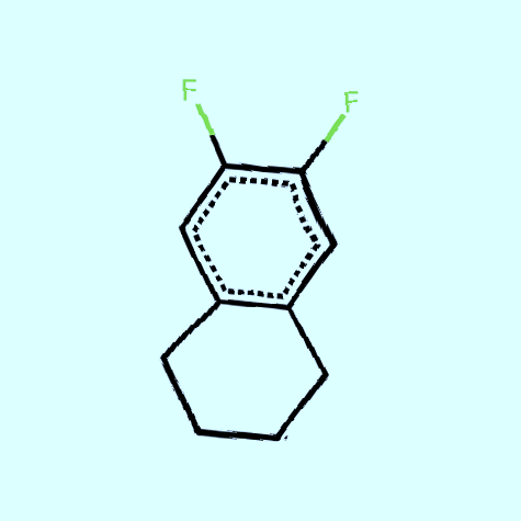 Fc1cc2c(cc1F)CC[CH]C2